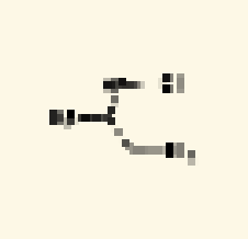 CC(CN)PO